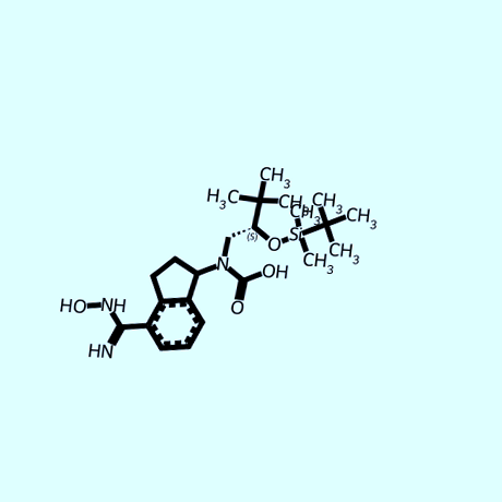 CC(C)(C)[C@@H](CN(C(=O)O)C1CCc2c(C(=N)NO)cccc21)O[Si](C)(C)C(C)(C)C